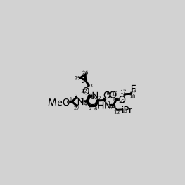 COC1CN(c2ccc(C(=O)N[C@H](CC(C)C)C(=O)OCCF)nc2OCC2CC2)C1